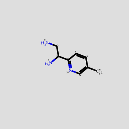 NCC(N)c1ccc(C(F)(F)F)cn1